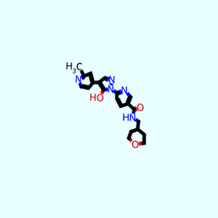 Cc1cc(-c2cnn(-c3ccc(C(=O)NCC4CCOCC4)cn3)c2O)ccn1